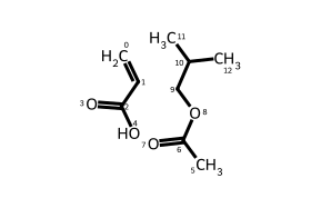 C=CC(=O)O.CC(=O)OCC(C)C